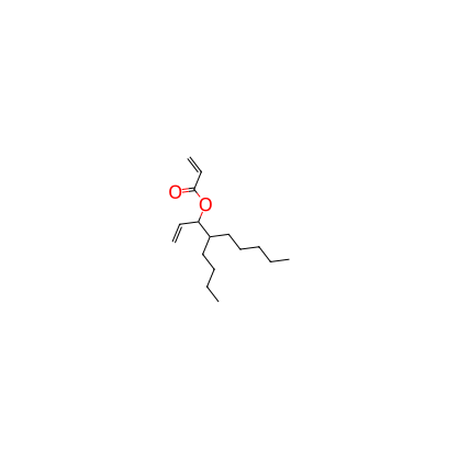 C=CC(=O)OC(C=C)C(CCCC)CCCCC